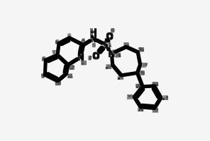 O=S(=O)(Nc1ccc2ccccc2n1)N1CCCC(c2ccccc2)CC1